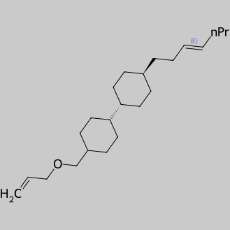 C=CCOCC1CCC([C@H]2CC[C@H](CC/C=C/CCC)CC2)CC1